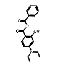 CCN(CC)c1ccc(C(=O)OC(=O)c2ccccc2)c(O)c1